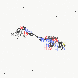 Cc1ncsc1-c1ccc([C@H](C)NC(=O)[C@@H]2C[C@@H](O)CN2C(=O)[C@@H](NC(=O)CN2CCN(CCCCc3ccc(C(=O)N[C@H]4C(C)(C)[C@H](Oc5ccc(C#N)c(C(F)(F)F)c5)C4(C)C)cc3)CC2)C(C)(C)C)cc1